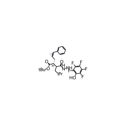 CC(C)CC(C(=O)NN)[C@@H](C/C=C\c1ccccc1)C(=O)OC(C)(C)C.Oc1c(F)c(F)c(F)c(F)c1F